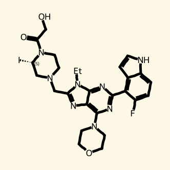 CCn1c(CN2CCN(C(=O)CO)[C@@H](I)C2)nc2c(N3CCOCC3)nc(-c3c(F)ccc4[nH]ccc34)nc21